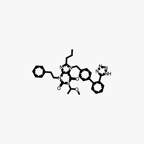 CCCc1nc2c(c(=O)n(C(C)OC)c(=O)n2CCc2ccccc2)n1Cc1ccc(-c2ccccc2-c2nnn[nH]2)cc1